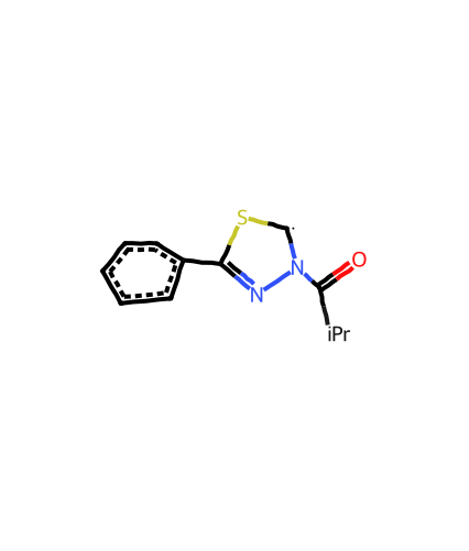 CC(C)C(=O)N1[CH]SC(c2ccccc2)=N1